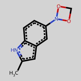 Cc1cc2cc(N3OCO3)ccc2[nH]1